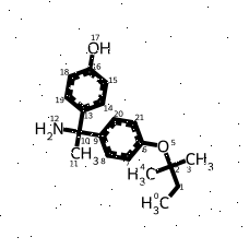 CCC(C)(C)Oc1ccc(C(C)(N)c2ccc(O)cc2)cc1